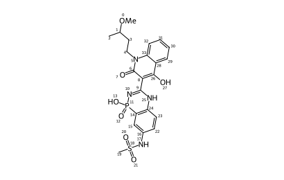 COC(C)CCn1c(=O)c(C2=NP(=O)(O)c3cc(NS(C)(=O)=O)ccc3N2)c(O)c2ccccc21